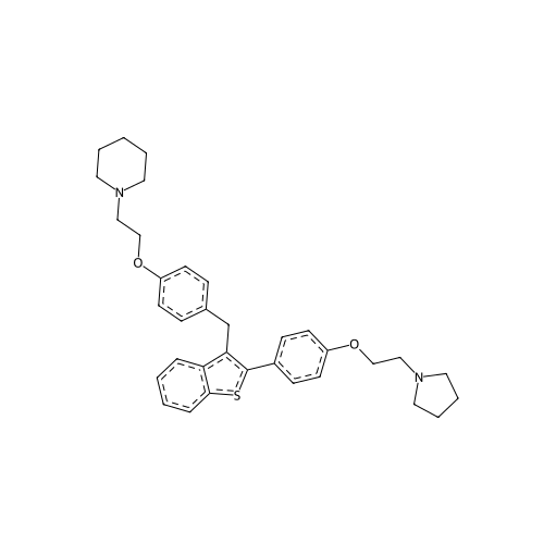 c1ccc2c(Cc3ccc(OCCN4CCCCC4)cc3)c(-c3ccc(OCCN4CCCC4)cc3)sc2c1